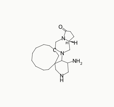 NC1CNCC2(CCCCCCCCCC2)C1N1CCN2C(=O)CC[C@@H]2C1